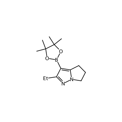 CCc1nn2c(c1B1OC(C)(C)C(C)(C)O1)CCC2